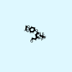 O=CCc1cc(OC2CCC3(CC2)OCCO3)nc(C(F)(F)F)n1